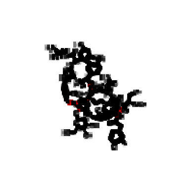 CN[C@H](CC(C)C)C(=O)N[C@H]1C(=O)N[C@@H](CC(N)=O)C(=O)N[C@H]2C(=O)N[C@H]3C(=O)N[C@H](C(=O)N[C@@H](C(=O)NNC(=N)N)c4cc(O)cc(O)c4-c4cc3ccc4O)[C@H](O)c3ccc(c(Cl)c3)Oc3cc2cc(c3O[C@@H]2O[C@H](CO)[C@@H](O)[C@H](O)[C@H]2O[C@H]2C[C@](C)(NCCn3ccc(NC(=O)Cc4ccc(Cl)c(F)c4)nc3=O)[C@H](O)[C@H](C)O2)Oc2ccc(cc2Cl)[C@H]1O